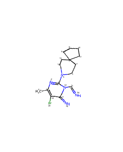 Cc1nc(N2CCC3(CCCC3)CC2)n(C=N)c(=N)c1Br